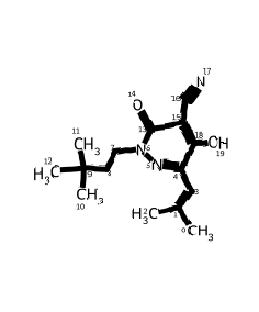 CC(C)=Cc1nn(CCC(C)(C)C)c(=O)c(C#N)c1O